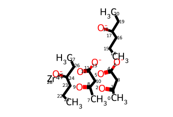 CC(=O)CC(=O)[O-].CC(=O)CC(=O)[O-].CCCC([O-])CC.CCCC([O-])CC.[Zr+4]